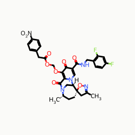 CC1=NO[C@@]2(CC[C@H](C)N3C[C@H]2n2cc(C(=O)NCc4ccc(F)cc4F)c(=O)c(OCOC(=O)Cc4ccc([N+](=O)[O-])cc4)c2C3=O)C1